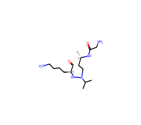 CC(C)N(CC[C@H](C)NC(=O)CN)N[C@H](C=O)CCCCN